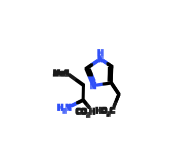 CSCC(N)C(=O)O.O=C(O)Cc1c[nH]cn1